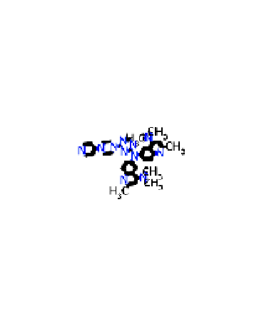 Cc1cc(N(C)C)c2cc(N(c3ccc4nc(C)cc(N(C)C)c4c3)c3ncnc(N4CCN(c5ccncc5)CC4)n3)ccc2n1